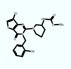 CCc1csc2c(=O)n(Cc3ccccc3C#N)c(N3CCCC(NC(=O)OC(C)(C)C)C3)nc12